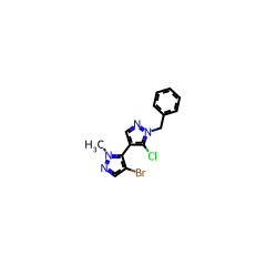 Cn1ncc(Br)c1-c1cnn(Cc2ccccc2)c1Cl